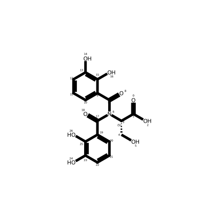 O=C(O)[C@H](CO)N(C(=O)c1cccc(O)c1O)C(=O)c1cccc(O)c1O